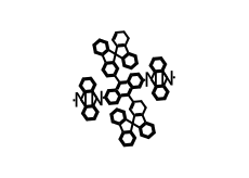 CN1c2ccccc2N(c2ccc3c(-c4ccc5c(c4)C4(C6=C(CCC=C6)c6ccccc64)c4ccccc4-5)c4cc(N5c6ccccc6N(C)c6ccccc65)ccc4c(C4=CC5=C(CC4)c4ccccc4C54c5ccccc5-c5ccccc54)c3c2)c2ccccc21